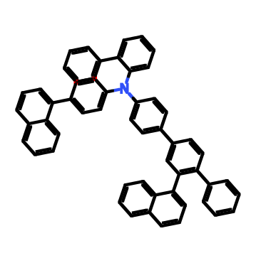 c1ccc(-c2ccc(-c3ccc(N(c4ccc(-c5cccc6ccccc56)cc4)c4ccccc4-c4ccccc4)cc3)cc2-c2cccc3ccccc23)cc1